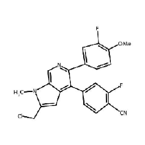 COc1ccc(-c2ncc3c(cc(CCl)n3C)c2-c2ccc(C#N)c(F)c2)cc1F